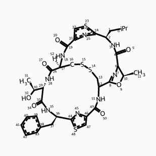 CC(C)C[C@H]1NC(=O)C2N=C(O[C@@H]2C)C2CSSC[C@H](NC(=O)c3csc1n3)C(=O)N[C@@H]([C@H](C)O)C(=O)N[C@H](Cc1ccccc1)c1nc(cs1)C(=O)N2